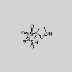 C[SiH](C)O[Si](C)(C)[Si](=O)[Si](=O)[Si](=O)[SiH]=O